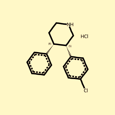 Cl.Clc1ccc([C@H]2CNCC[C@H]2c2ccccc2)cc1